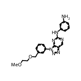 COCCOCc1cccc(-n2nnc3cnc(Nc4cccc(N)c4)nc32)c1